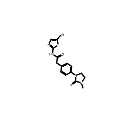 CC(C)c1cnc(NC(=O)Cc2ccc(N3CCN(C)C3=O)cc2)s1